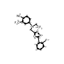 N#Cc1ccc(N(Cc2nnc(-c3ccccc3F)o2)CC(F)(F)F)cc1C(F)(F)F